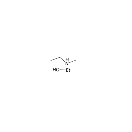 CCNC.CCO